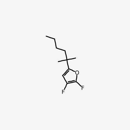 CCCCC(C)(C)c1cc(F)c(F)o1